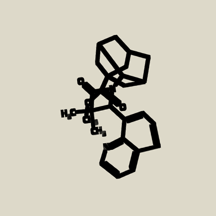 COC(=O)C12CC3CC(C1)C(N1C(=O)C(C)(C)C1c1cccc4cccnc14)C(C3)C2